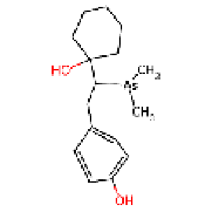 C[As](C)C(Cc1ccc(O)cc1)C1(O)CCCCC1